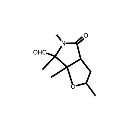 CC1CC2C(=O)N(C)C(C)(C=O)C2(C)O1